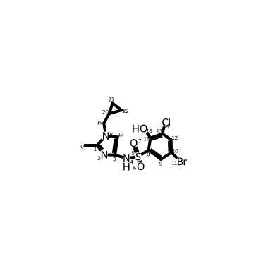 Cc1nc(NS(=O)(=O)c2cc(Br)cc(Cl)c2O)cn1CC1CC1